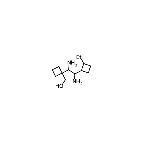 CCC1CCC1C(N)C(N)C1(CO)CCC1